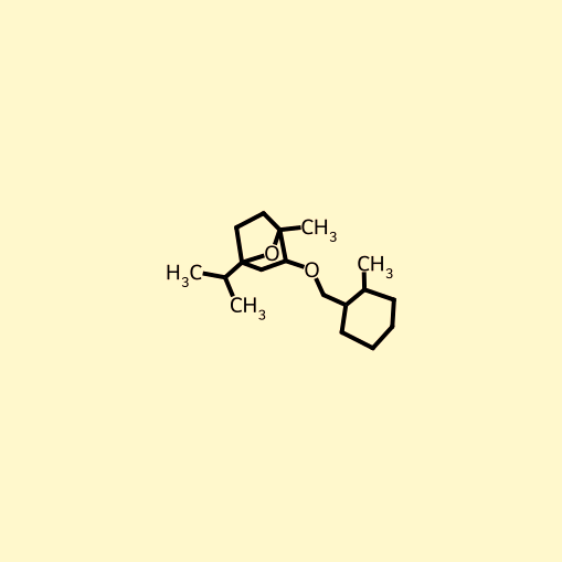 CC1CCCCC1COC1CC2(C(C)C)CCC1(C)O2